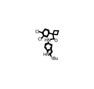 CC(C)(C)c1cc2cc(NC(=O)C3(c4ccc(Cl)c(Cl)c4)CCC3)ccc2[nH]1